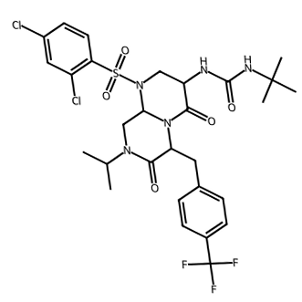 CC(C)N1CC2N(C(=O)C(NC(=O)NC(C)(C)C)CN2S(=O)(=O)c2ccc(Cl)cc2Cl)C(Cc2ccc(C(F)(F)F)cc2)C1=O